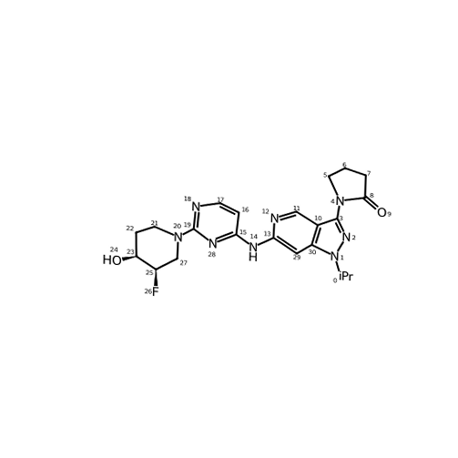 CC(C)n1nc(N2CCCC2=O)c2cnc(Nc3ccnc(N4CC[C@H](O)[C@H](F)C4)n3)cc21